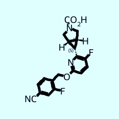 N#Cc1ccc(COc2ccc(F)c([C@@H]3[C@@H]4CN(C(=O)O)C[C@@H]43)n2)c(F)c1